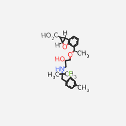 Cc1ccc(CC(C)(C)NCC(O)CO[C@H](C)c2cccc3c2O[C@@H]2[C@@H](C(=O)O)[C@H]32)c(F)c1